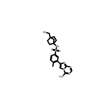 Cc1ccc(S(=O)(=O)NC23CCC(CC#N)(CC2)C3)cc1-c1cn2c(N)ncnc2n1